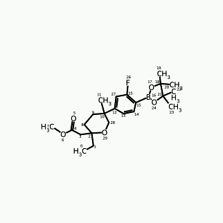 CCC1(CC(=O)OC)CCC(C)(c2ccc(B3OC(C)(C)C(C)(C)O3)c(F)c2)CO1